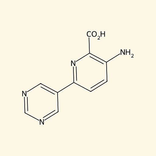 Nc1ccc(-c2cncnc2)nc1C(=O)O